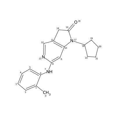 Cc1ccccc1Nc1cc2c(cn1)CC(=O)N2C1CCCC1